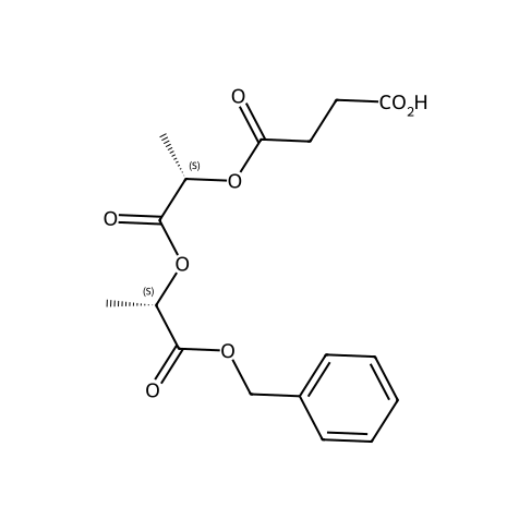 C[C@H](OC(=O)CCC(=O)O)C(=O)O[C@@H](C)C(=O)OCc1ccccc1